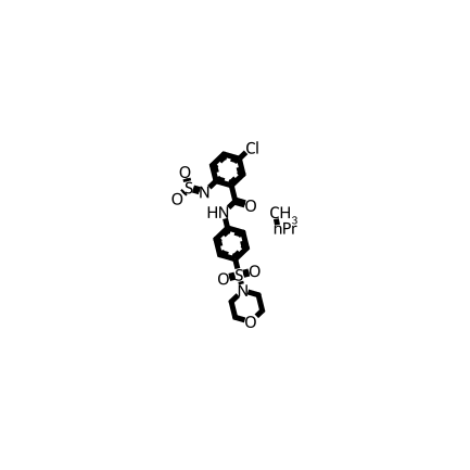 CCCC.O=C(Nc1ccc(S(=O)(=O)N2CCOCC2)cc1)c1cc(Cl)ccc1N=S(=O)=O